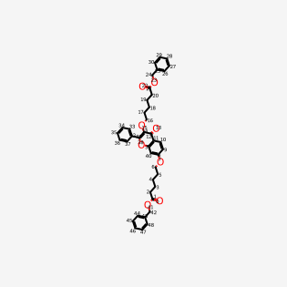 O=C(CCCCCOc1ccc2c(=O)c(OCCCCCC(=O)OCc3ccccc3)c(-c3ccccc3)oc2c1)OCc1ccccc1